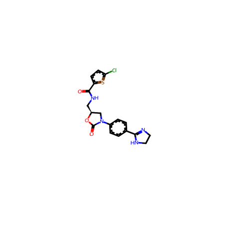 O=C(NC[C@H]1CN(c2ccc(C3=NCCN3)cc2)C(=O)O1)c1ccc(Cl)s1